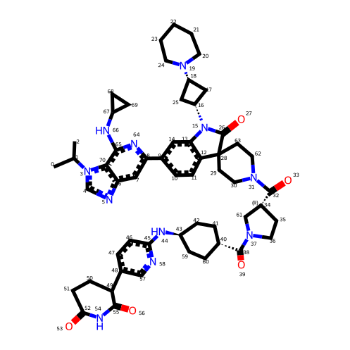 CC(C)n1cnc2cc(-c3ccc4c(c3)N([C@H]3C[C@@H](N5CCCCC5)C3)C(=O)C43CCN(C(=O)[C@@H]4CCN(C(=O)[C@H]5CC[C@H](Nc6ccc(C7CCC(=O)NC7=O)cn6)CC5)C4)CC3)nc(NC3CC3)c21